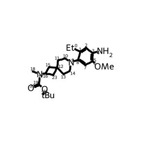 CCc1cc(N)c(OC)cc1N1CCC2(CC1)CC(N(C)C(=O)OC(C)(C)C)C2